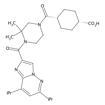 CC(C)c1cc(C(C)C)c2nc(C(=O)N3CCN(C(=O)[C@H]4CC[C@@H](C(=O)O)CC4)CC3(C)C)cn2n1